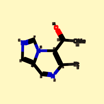 CCc1ncc2cncn2c1C(=O)OC